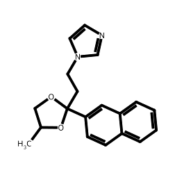 CC1COC(CCn2ccnc2)(c2ccc3ccccc3c2)O1